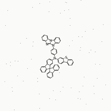 c1ccc2c(c1)-c1ccccc1C21c2ccccc2-c2ccc(N(c3ccc(-n4c5ccccc5n5c6ccccc6nc45)cc3)c3ccc4c(c3)sc3ccccc34)cc21